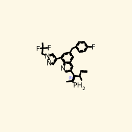 C=CC(C)/C(=C(/C)P)c1cnc2c(-c3cnn(CC(C)(F)F)c3)cc(Cc3ccc(F)cc3)cc2c1